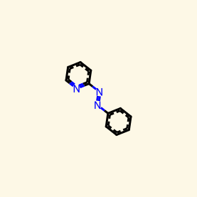 c1ccc(N=Nc2ccccn2)cc1